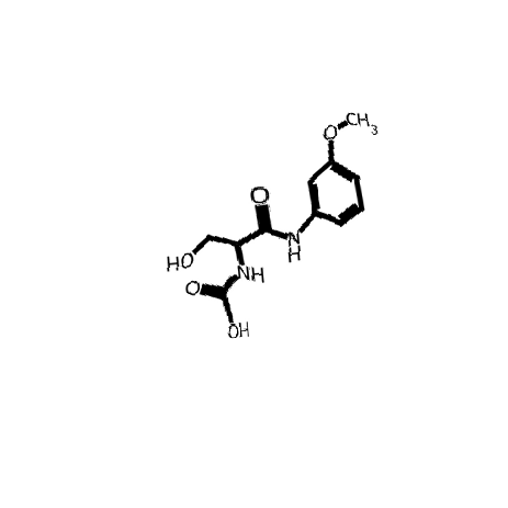 COc1cccc(NC(=O)C(CO)NC(=O)O)c1